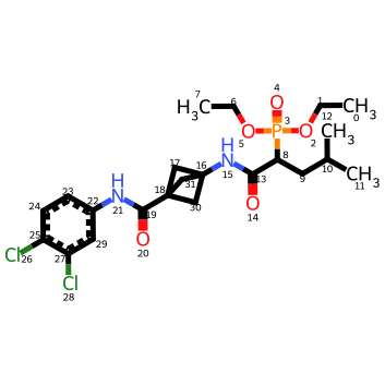 CCOP(=O)(OCC)C(CC(C)C)C(=O)NC12CC(C(=O)Nc3ccc(Cl)c(Cl)c3)(C1)C2